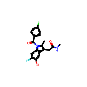 CNC(=O)Cc1c(C)n(C(=O)c2ccc(Cl)cc2)c2cc(F)c(O)cc12